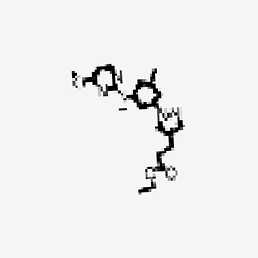 CCOC(=O)CCc1cnn(-c2cc(C)cc(Nc3nccc(OC)n3)c2)c1